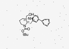 CC(C)(C)OC(=O)N1CCC[C@@](N)(CO)[C@@H]1Cc1cccc(-c2ccccc2)c1